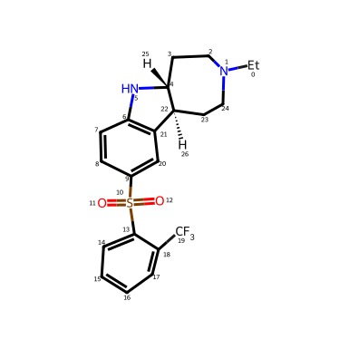 CCN1CC[C@H]2Nc3ccc(S(=O)(=O)c4ccccc4C(F)(F)F)cc3[C@@H]2CC1